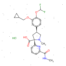 CNC(=O)c1cccc([C@@]2(C(=O)O)C[C@@H](c3ccc(OC(F)F)c(OCC4CC4)c3)CN2C)n1.Cl